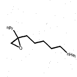 CCCCCCCCCCCCC1(CCC)CO1